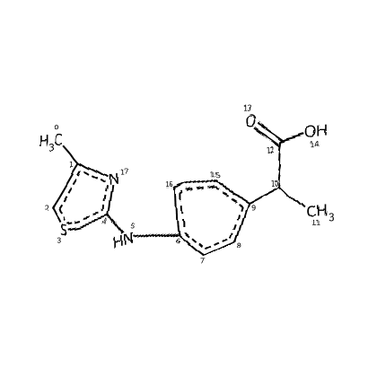 Cc1csc(Nc2ccc(C(C)C(=O)O)cc2)n1